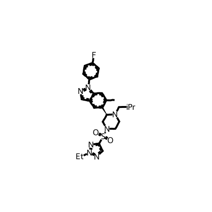 CCn1ncc(S(=O)(=O)N2CCN(CC(C)C)[C@H](c3cc4cnn(-c5ccc(F)cc5)c4cc3C)C2)n1